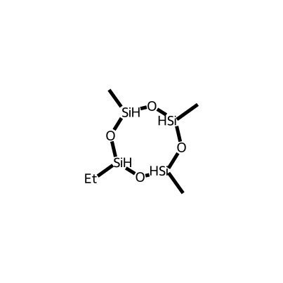 CC[SiH]1O[SiH](C)O[SiH](C)O[SiH](C)O1